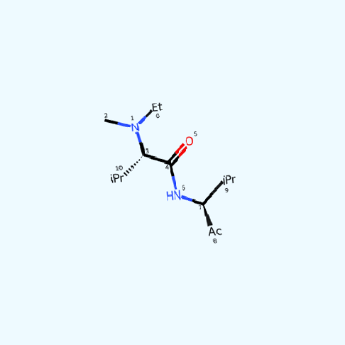 CCN(C)[C@H](C(=O)N[C@H](C(C)=O)C(C)C)C(C)C